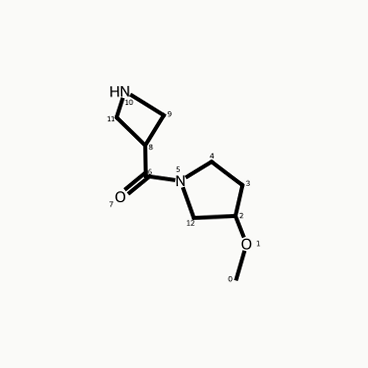 COC1CCN(C(=O)C2CNC2)C1